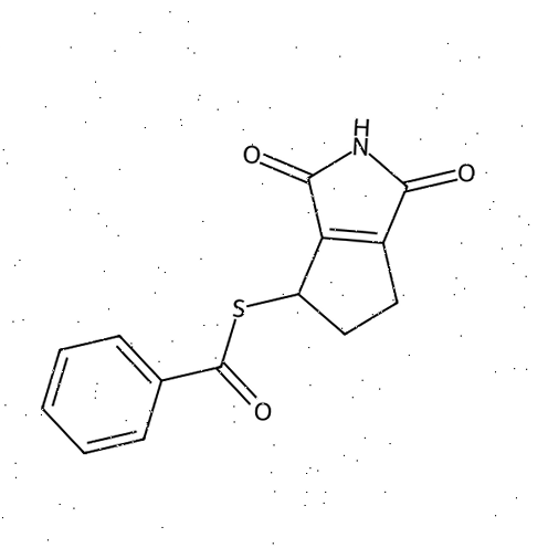 O=C1NC(=O)C2=C1CCC2SC(=O)c1ccccc1